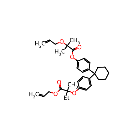 C=CCOC(=O)C(C)(CC)Oc1ccc(C2(c3ccc(OC(=O)C(C)(C)OCC=C)cc3)CCCCC2)cc1